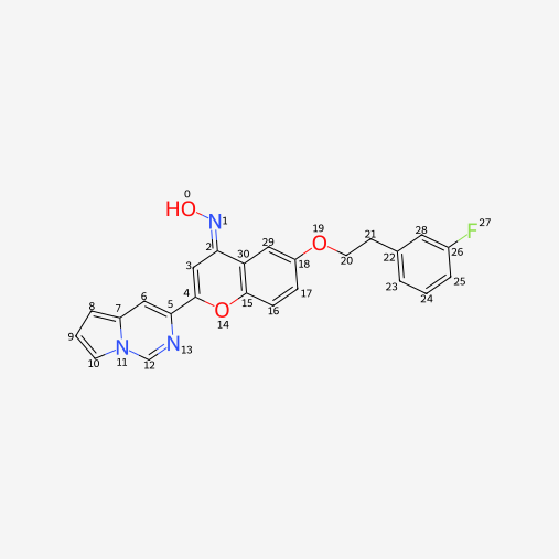 ON=c1cc(-c2cc3cccn3cn2)oc2ccc(OCCc3cccc(F)c3)cc12